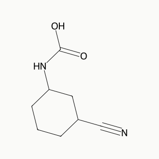 N#CC1CCCC(NC(=O)O)C1